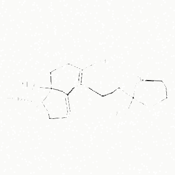 CC1(CCC2=C(O)CCC3(C)C2=CC[C@@H]3O)OCCO1